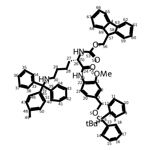 COc1cc(CO[Si](c2ccccc2)(c2ccccc2)C(C)(C)C)ccc1NC(=O)[C@H](CCCCNC(c1ccccc1)(c1ccccc1)c1ccc(C)cc1)NC(=O)OCC1c2ccccc2-c2ccccc21